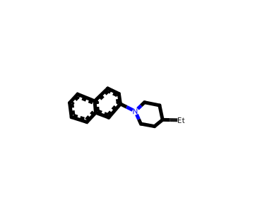 CCC1CCN(c2ccc3ccccc3c2)CC1